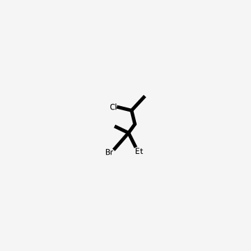 CCC(C)(Br)CC(C)Cl